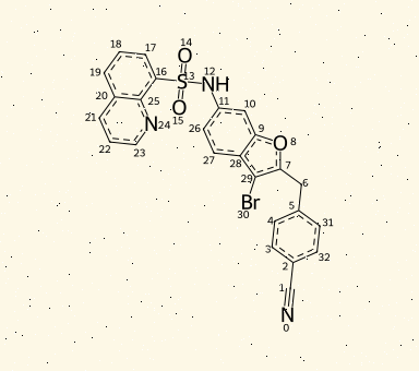 N#Cc1ccc(Cc2oc3cc(NS(=O)(=O)c4cccc5cccnc45)ccc3c2Br)cc1